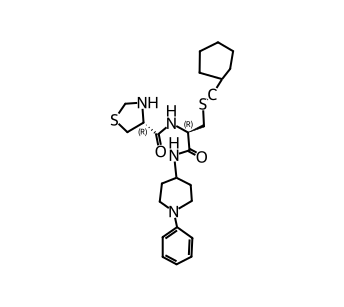 O=C(N[C@@H](CSCC1CCCCC1)C(=O)NC1CCN(c2ccccc2)CC1)[C@@H]1CSCN1